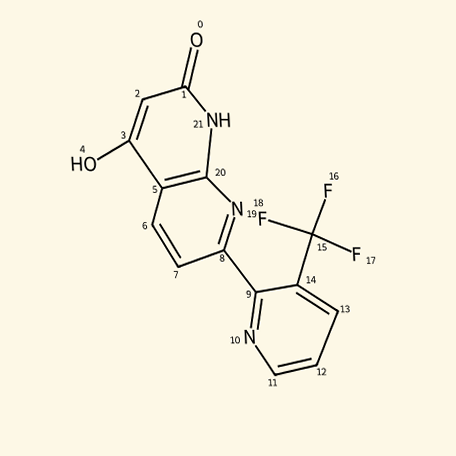 O=c1cc(O)c2ccc(-c3ncccc3C(F)(F)F)nc2[nH]1